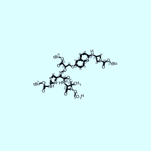 CC(C)(C)OC(=O)Nc1nc(C(=NOC(COc2ccc3nc(NC4CN(C(=O)OC(C)(C)C)C4)ccc3c2)C(=O)OC(C)(C)C)C(=O)NC2C(=O)N(OS(=O)(=O)O)C2(C)C)cs1